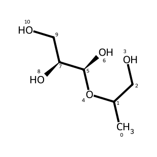 CC(CO)O[C@H](O)[C@@H](O)CO